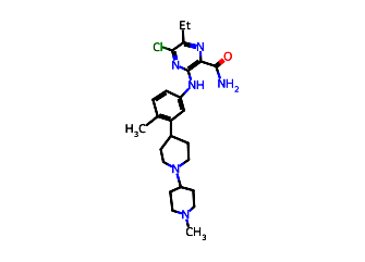 CCc1nc(C(N)=O)c(Nc2ccc(C)c(C3CCN(C4CCN(C)CC4)CC3)c2)nc1Cl